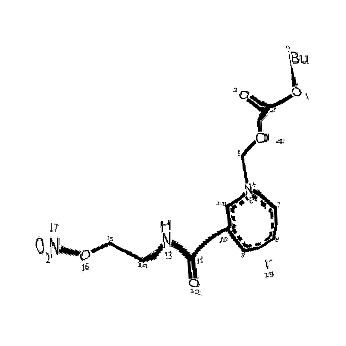 CC[C@H](C)OC(=O)OC[n+]1cccc(C(=O)NCCO[N+](=O)[O-])c1.[I-]